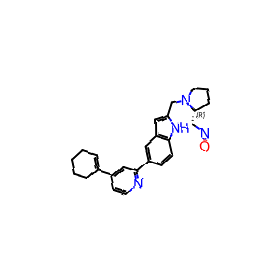 O=NC[C@H]1CCCN1Cc1cc2cc(-c3cc(C4=CCCCC4)ccn3)ccc2[nH]1